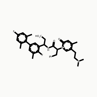 Cc1cc(=O)n(C(CC(C)C)C(=O)NC(CC(=O)O)c2cc(-c3c(C)cc(F)cc3C)cc(C)c2F)cc1CCN(C)C